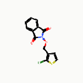 O=C1c2ccccc2C(=O)N1OCc1ccsc1Cl